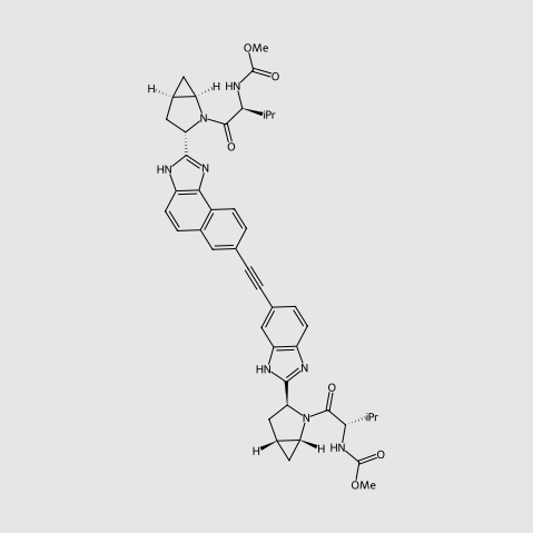 COC(=O)N[C@H](C(=O)N1[C@@H]2C[C@@H]2C[C@H]1c1nc2ccc(C#Cc3ccc4c(ccc5[nH]c([C@@H]6C[C@H]7C[C@H]7N6C(=O)[C@@H](NC(=O)OC)C(C)C)nc54)c3)cc2[nH]1)C(C)C